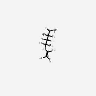 OC(F)C(F)(F)C(F)(F)C(F)(F)OC(F)=C(F)F